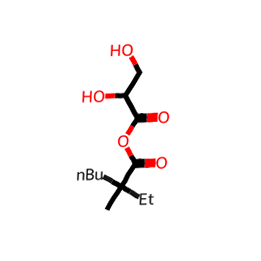 CCCCC(C)(CC)C(=O)OC(=O)C(O)CO